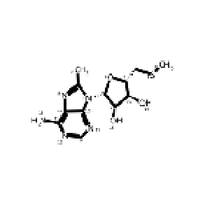 CSC[C@H]1O[C@@H](n2c(C)nc3c(N)ncnc32)[C@H](O)[C@@H]1O